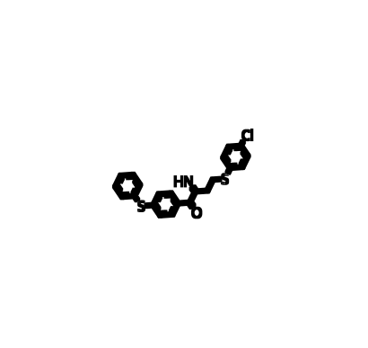 N=C(CCSc1ccc(Cl)cc1)C(=O)c1ccc(Sc2ccccc2)cc1